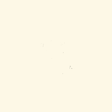 C1=CC2=NCCC3CCSC23C=C1.Cl